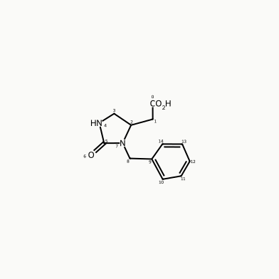 O=C(O)CC1CNC(=O)N1Cc1ccccc1